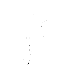 CC(C)C(=O)NC12CC(C1)C2